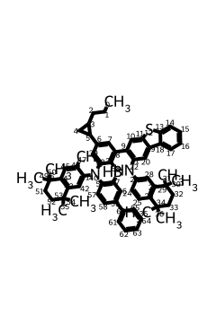 CCCC1CC1c1cc(-c2cc3sc4ccccc4c3cc2Nc2ccc3c(c2)C(C)(C)CCC3(C)C)c2c(c1)N(c1cc3c(cc1C)C(C)(C)CCC3(C)C)c1ccc(-c3ccccc3)cc1B2